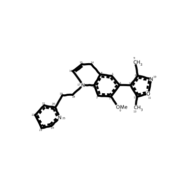 COc1cc2c(cc1-c1c(C)noc1C)CC=CN2CCc1ccccn1